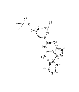 CC(NC(=O)c1cc(Cl)cc(SCC(F)(F)F)c1)c1ncnn1-c1ncccn1